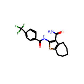 NC(=O)c1c(NC(=O)c2ccc(C(F)(F)F)cc2)sc2c1CCCCC2